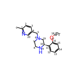 Cc1ccc(CN2CCN[C@H](c3ccccc3OC(C)C)C2)cn1